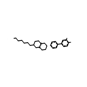 CCCCCCCC1CC[C@@H]2C[C@H](c3ccc(-c4ccc(OC)c(F)c4)cc3)CC[C@@H]2C1